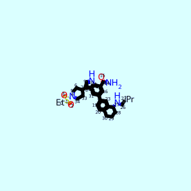 CCS(=O)(=O)N1CCC(c2c[nH]c3c(C(N)=O)cc(-c4ccc5c(c4)C(NCC(C)C)CCC5)cc23)CC1